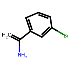 C=C(N)c1cccc(Br)c1